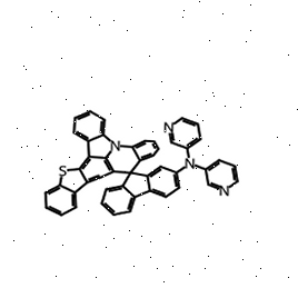 c1cncc(N(c2cccnc2)c2ccc3c(c2)C2(c4ccccc4-3)c3ccccc3-n3c4ccccc4c4c5sc6ccccc6c5cc2c43)c1